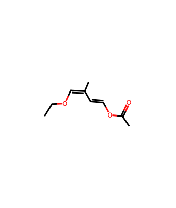 CCOC=C(C)C=COC(C)=O